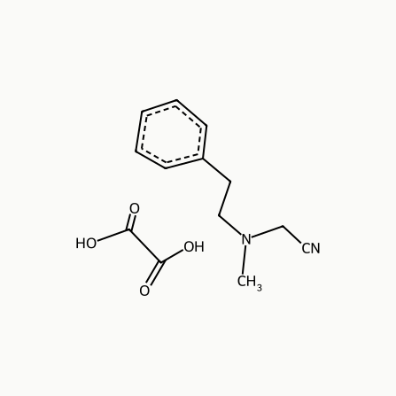 CN(CC#N)CCc1ccccc1.O=C(O)C(=O)O